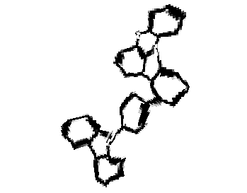 c1ccc2c(c1)Sc1cccc3c4c(-c5ccc(-n6c7ccccc7c7ccccc76)cc5)cccc4n-2c13